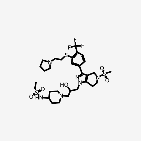 CCS(=O)(=O)NC1CCN(CC(O)Cn2nc(-c3ccc(C(F)(F)F)c(SCCN4CCCC4)c3)c3c2CCN(S(C)(=O)=O)C3)CC1